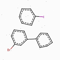 Brc1cccc(-c2ccccc2)c1.Ic1ccccc1